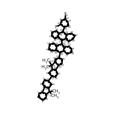 CC1(C)c2ccccc2-c2ccc(-c3ccc4c(c3)C(C)(C)c3cc(-c5c6ccccc6c(-c6c7ccccc7c(-c7ccc(F)cc7F)c7ccccc67)c6ccccc56)ccc3-4)cc21